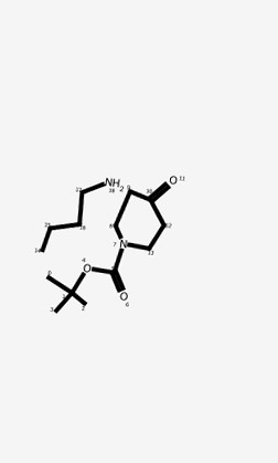 CC(C)(C)OC(=O)N1CCC(=O)CC1.CCCCN